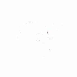 COC(=O)C1=C(C2C3CCC2CN(S(C)(=O)=O)C3)NC(c2nccs2)=NC1c1cccc(F)c1Cl